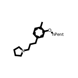 CCCCCOc1cc(CCCN2CCCC2)ccc1C